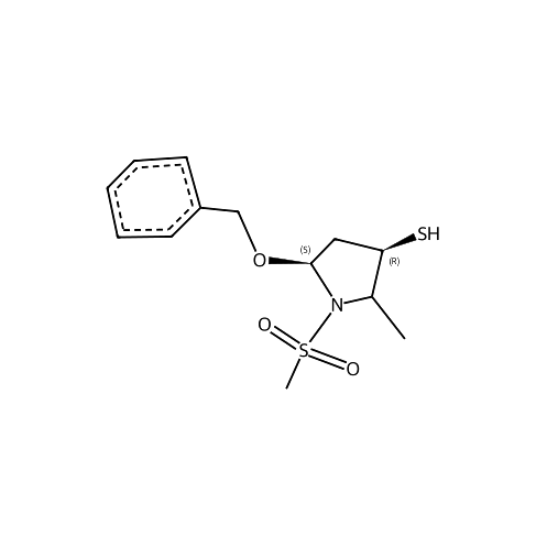 CC1[C@H](S)C[C@H](OCc2ccccc2)N1S(C)(=O)=O